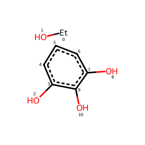 CCO.Oc1cccc(O)c1O